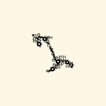 CCOC(=O)C1=C(Nc2ccccc2)S/C(=C\c2ccc(OCCOCCOCCOCCNC(=O)c3cc(NC(=O)Nc4ccc(C#N)cc4)cc(NC(=O)Nc4ccc(C5=NCCN5)cc4)c3)c(O)c2)C1=O